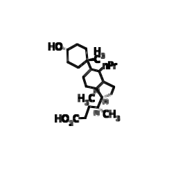 CCCC1C2CC[C@H]([C@H](C)CCC(=O)O)[C@@]2(C)CCC1[C@]1(C)CC[C@H](O)CC1